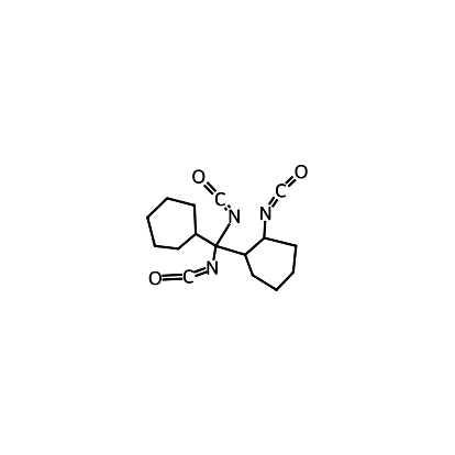 O=C=NC1CCCCC1C(N=C=O)(N=C=O)C1CCCCC1